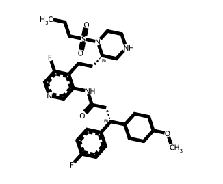 CCCS(=O)(=O)N1CCNC[C@@H]1CCc1c(F)cncc1NC(=O)C[C@@H](c1ccc(F)cc1)C1CCC(OC)CC1